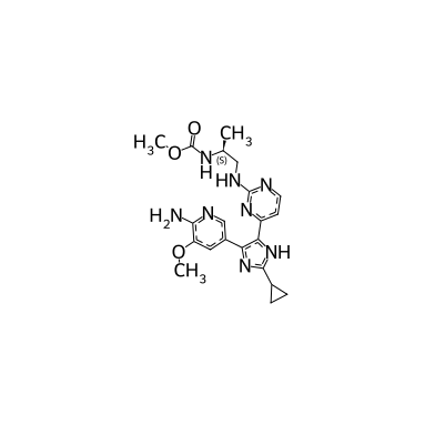 COC(=O)N[C@@H](C)CNc1nccc(-c2[nH]c(C3CC3)nc2-c2cnc(N)c(OC)c2)n1